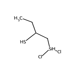 CCC(S)C[SiH](Cl)Cl